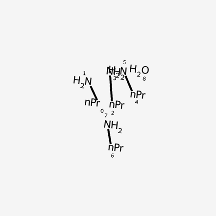 CCCN.CCCN.CCCN.CCCN.O